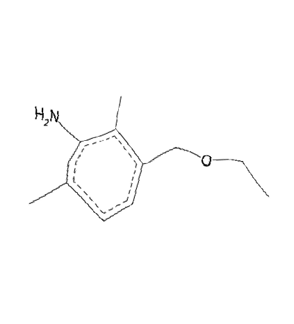 CCOCc1ccc(C)c(N)c1C